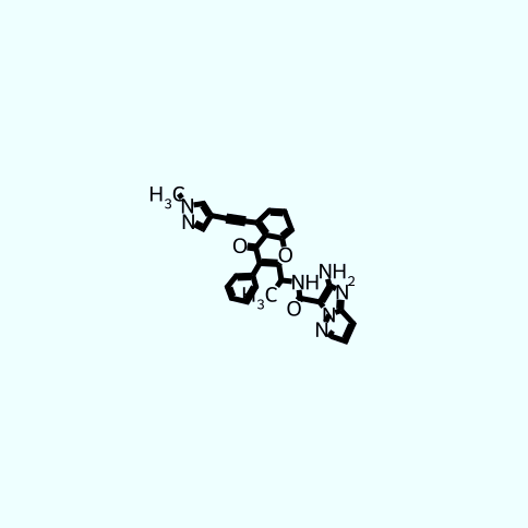 CC(NC(=O)c1c(N)nc2cccnn12)c1oc2cccc(C#Cc3cnn(C)c3)c2c(=O)c1-c1ccccc1